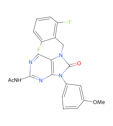 COc1cccc(-n2c(=O)n(Cc3c(F)cccc3F)c3cnc(NC(C)=O)nc32)c1